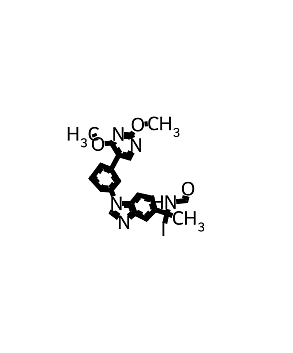 COc1ncc(-c2cccc(-n3cnc4cc(C(C)(I)NC=O)ccc43)c2)c(OC)n1